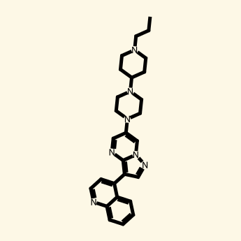 CCCN1CCC(N2CCN(c3cnc4c(-c5ccnc6ccccc56)cnn4c3)CC2)CC1